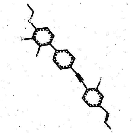 C/C=C/c1ccc(C#Cc2ccc(-c3ccc(OCC)c(F)c3F)cc2)c(F)c1